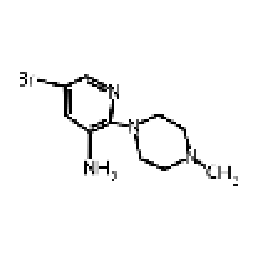 CN1CCN(c2ncc(Br)cc2N)CC1